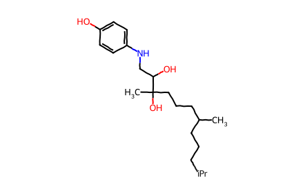 CC(C)CCCC(C)CCCC(C)(O)C(O)CNc1ccc(O)cc1